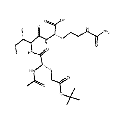 CC[C@H](C)[C@H](NC(=O)[C@H](CCC(=O)OC(C)(C)C)NC(C)=O)C(=O)N[C@@H](CCCNC(N)=O)C(=O)O